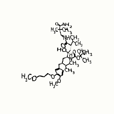 COCCCOc1cc(C[C@@H](C[C@H](NC(=O)OC(C)(C)C)C(O)C[C@H](C(=O)NCC(C)(C)C(N)=O)C(C)C)C(C)C)ccc1OC